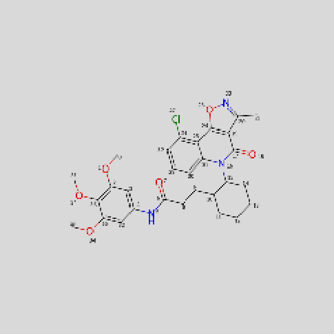 COc1cc(NC(=O)CCC2CCCCC2n2c(=O)c3c(C)noc3c3c(Cl)cccc32)cc(OC)c1OC